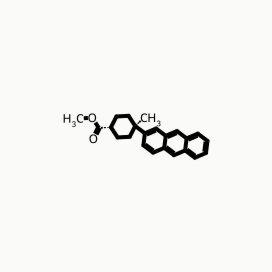 COC(=O)[C@H]1CC[C@](C)(c2ccc3cc4ccccc4cc3c2)CC1